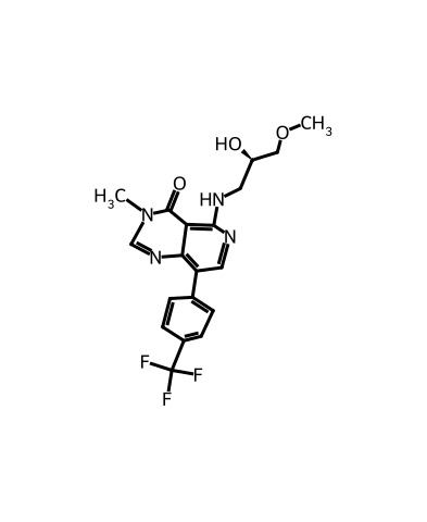 COC[C@H](O)CNc1ncc(-c2ccc(C(F)(F)F)cc2)c2ncn(C)c(=O)c12